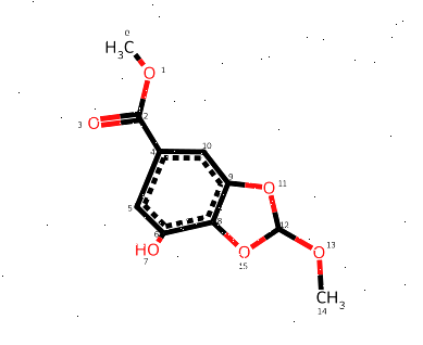 COC(=O)c1cc(O)c2c(c1)OC(OC)O2